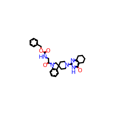 O=C(NCC(=O)N1CC2(CCN(c3nc4c(c(=O)[nH]3)CCCC4)CC2)c2ccccc21)OCc1ccccc1